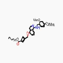 COC(=O)C12CC(COc3cccc4c(NCc5ccc(OC)cc5OC)nccc34)(C1)C2